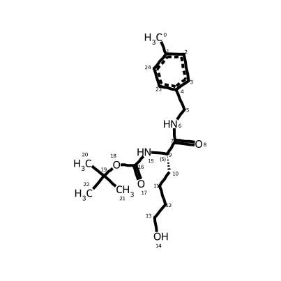 Cc1ccc(CNC(=O)[C@H](CCCCO)NC(=O)OC(C)(C)C)cc1